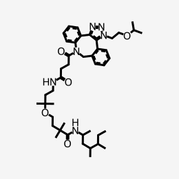 CCC(C)C(C)CC(C)NC(=O)C(C)(C)CCOC(C)(C)CCNC(=O)CCC(=O)N1Cc2ccccc2-c2c(nnn2CCOC(C)C)-c2ccccc21